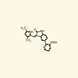 COc1cccnc1-c1ccc2c(c1)/C(=C/c1[nH]c(C)cc1C)C(=O)N2